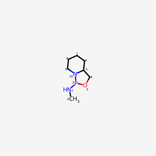 CNP1OCC2CCCCN21